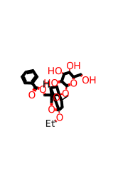 CCO[C@]12C[C@]3(C)OC(O1)C1(COC(=O)c4ccccc4)[C@H]2C[C@@]13O[C@@H]1OC(CO)[C@@H](O)[C@H](O)C1O